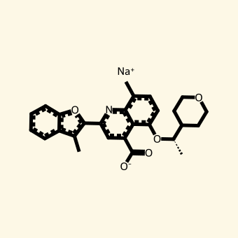 Cc1c(-c2cc(C(=O)[O-])c3c(O[C@@H](C)C4CCOCC4)ccc(C)c3n2)oc2ccccc12.[Na+]